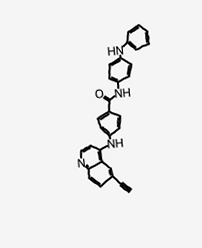 C#Cc1ccc2nccc(Nc3ccc(C(=O)Nc4ccc(Nc5ccccc5)cc4)cc3)c2c1